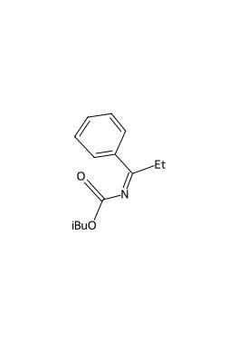 CC/C(=N/C(=O)OCC(C)C)c1ccccc1